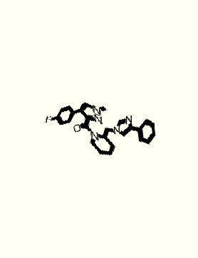 Cn1cc(-c2ccc(F)cc2)c(C(=O)N2CCCCC2Cn2cnc(-c3ccccc3)c2)n1